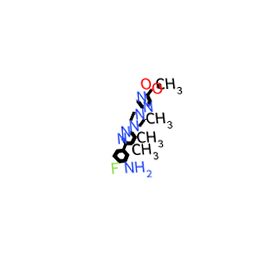 COC(=O)c1cnc(N2CCN(c3nnc(-c4ccc(F)c(N)c4)c(C)c3C)C[C@H]2C)cn1